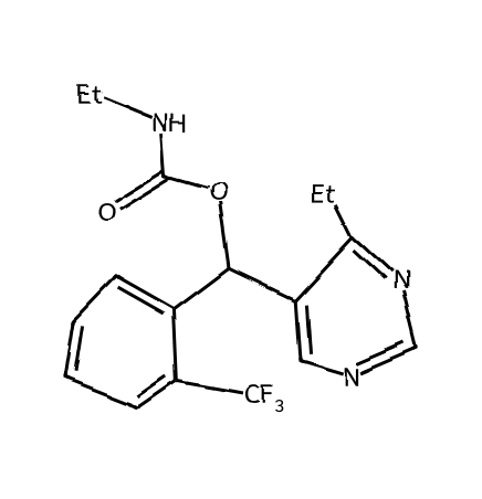 CCNC(=O)OC(c1ccccc1C(F)(F)F)c1cncnc1CC